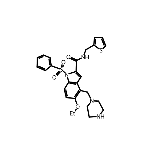 CCOc1ccc2c(cc(C(=O)NCc3cccs3)n2S(=O)(=O)c2ccccc2)c1CN1CCNCC1